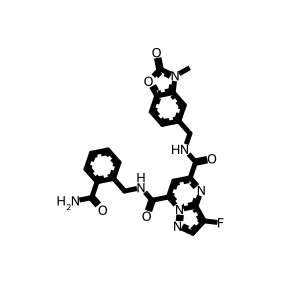 Cn1c(=O)oc2ccc(CNC(=O)c3cc(C(=O)NCc4ccccc4C(N)=O)n4ncc(F)c4n3)cc21